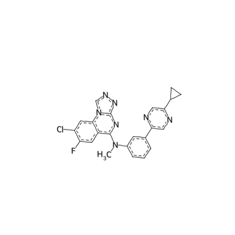 CN(c1cccc(-c2cnc(C3CC3)cn2)c1)c1nc2nncn2c2cc(Cl)c(F)cc12